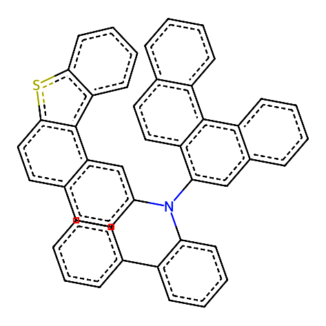 c1ccc(-c2ccccc2N(c2ccc3ccc4sc5ccccc5c4c3c2)c2cc3ccccc3c3c2ccc2ccccc23)cc1